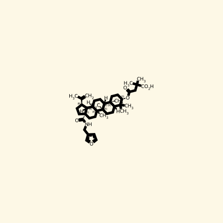 C=C(C)[C@@H]1CC[C@]2(C(=O)NCc3ccoc3)CC[C@]3(C)[C@H](CC[C@@H]4[C@@]5(C)CC[C@H](OC(=O)CC(C)(C)C(=O)O)C(C)(C)[C@@H]5CC[C@]43C)[C@@H]12